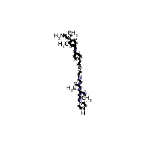 C\C=C/C(/C=C/C(=C/C=N/CCSSCC[n+]1ccc(/C=C/c2ccc(N(CC)CCN)c(C)c2)cc1)CC)=C\C=C\N1CCNCC1